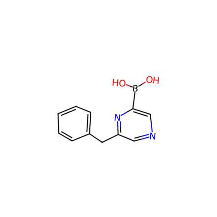 OB(O)c1cncc(Cc2ccccc2)n1